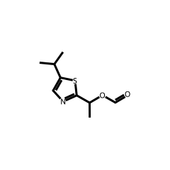 CC(C)c1cnc(C(C)OC=O)s1